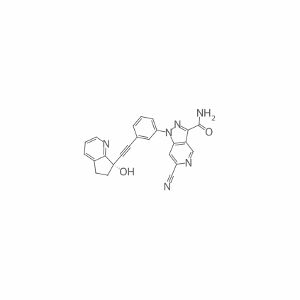 N#Cc1cc2c(cn1)c(C(N)=O)nn2-c1cccc(C#C[C@@]2(O)CCc3cccnc32)c1